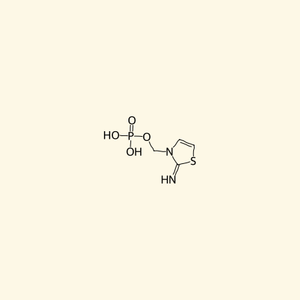 N=c1sccn1COP(=O)(O)O